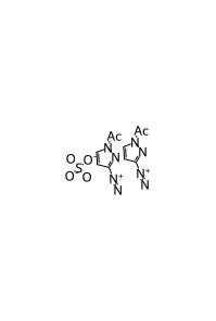 CC(=O)n1ccc([N+]#N)n1.CC(=O)n1ccc([N+]#N)n1.O=S(=O)([O-])[O-]